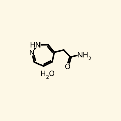 NC(=O)CC1=CNN=CC=C1.O